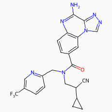 N#CC(CN(Cc1ccc(C(F)(F)F)cn1)C(=O)c1ccc2nc(N)c3nncn3c2c1)C1CC1